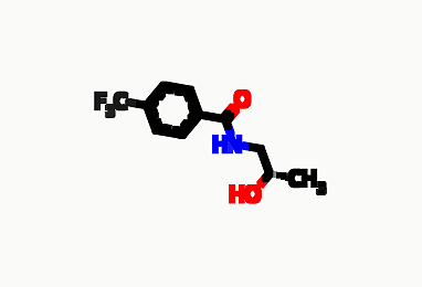 C[C@H](O)CNC(=O)c1ccc(C(F)(F)F)cc1